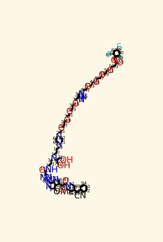 COc1cnc(-n2cnc(C(=O)NCCCN(CCCCN3CCN(CCOCCOCCOCCOCc4cn(CCOCCOCCOCCOCCC(=O)Oc5c(F)cc(F)cc5F)nn4)CC3)C(CO)CO)n2)c2[nH]cc(C(=O)C(=O)N3CCC(=C(C#N)c4ccccc4)CC3)c12